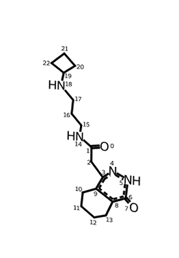 O=C(Cc1n[nH]c(=O)c2c1CCCC2)NCCCNC1CCC1